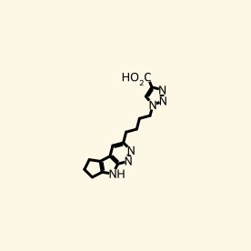 O=C(O)c1cn(CCCCc2cc3c4c([nH]c3nn2)CCC4)nn1